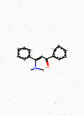 CN(C)C(=CC(=O)c1ccccc1)c1ccccc1